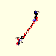 CCCC(NC(=O)/C(C#N)=C/c1cc(C)no1)c1ccc(OCCOCCOCCOCCOCCOCCOCCNC(=O)c2ccc(-c3ccc4c(c3)CC[C@H](C)N4C(C)=O)cc2)cc1